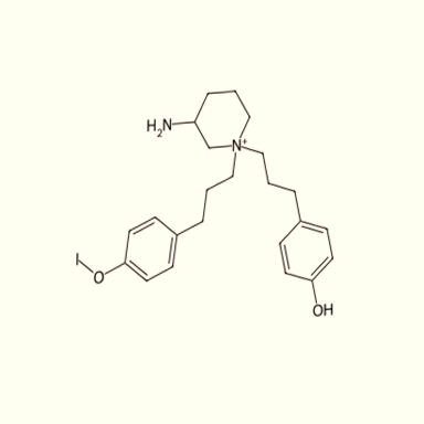 NC1CCC[N+](CCCc2ccc(O)cc2)(CCCc2ccc(OI)cc2)C1